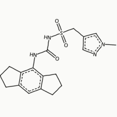 Cn1cc(CS(=O)(=O)NC(=O)Nc2c3c(cc4c2CCC4)CCC3)cn1